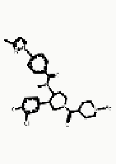 CC(=O)N1CCC(C(=O)N2CCC(N(C)C(=O)c3ccc(-n4ccc(C)n4)cc3)C(c3ccc(Cl)c(Cl)c3)C2)CC1